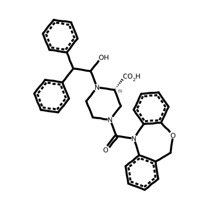 O=C(O)[C@@H]1CN(C(=O)N2c3ccccc3COc3ccccc32)CCN1C(O)C(c1ccccc1)c1ccccc1